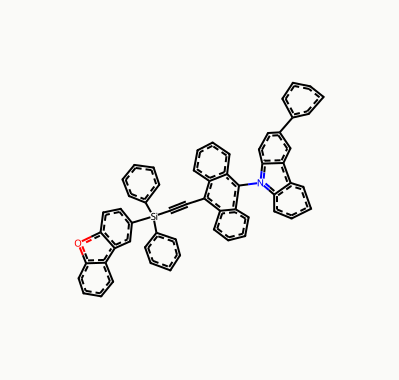 C(#C[Si](c1ccccc1)(c1ccccc1)c1ccc2oc3ccccc3c2c1)c1c2ccccc2c(-n2c3ccccc3c3cc(-c4ccccc4)ccc32)c2ccccc12